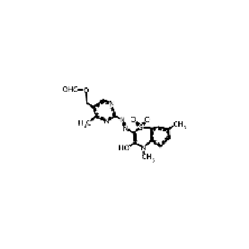 Cc1ccc2c(c1)S(=O)(=O)C(N=Nc1ncc(COC=O)c(C)n1)=C(O)N2C